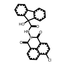 O=C1c2cccc3c(Cl)ccc(c23)C(=O)N1NC(=O)C1(O)c2ccccc2-c2ccccc21